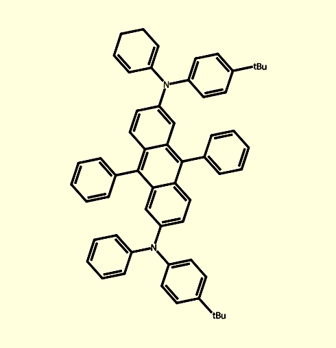 CC(C)(C)c1ccc(N(C2=CCCC=C2)c2ccc3c(-c4ccccc4)c4cc(N(c5ccccc5)c5ccc(C(C)(C)C)cc5)ccc4c(-c4ccccc4)c3c2)cc1